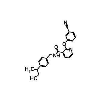 CC(CO)c1ccc(CNC(=O)c2cccnc2Oc2cccc(C#N)c2)cc1